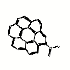 O=[N+]([O-])c1cc2ccc3ccc4ccc5ccc6ccc1c1c6c5c4c3c21